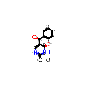 O=Cc1ncc(C(=O)c2ccccc2)c(=O)[nH]1